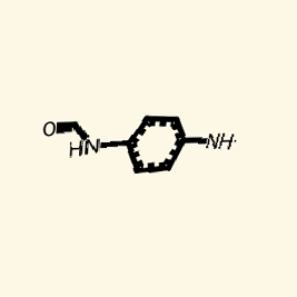 [NH]c1ccc(NC=O)cc1